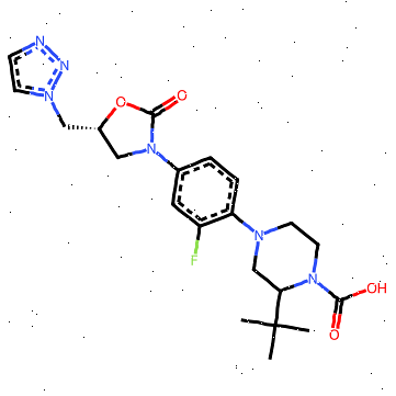 CC(C)(C)C1CN(c2ccc(N3C[C@H](Cn4ccnn4)OC3=O)cc2F)CCN1C(=O)O